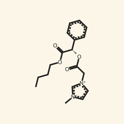 CCCCOC(=O)[C@@H](OC(=O)C[n+]1ccn(C)c1)c1ccccc1